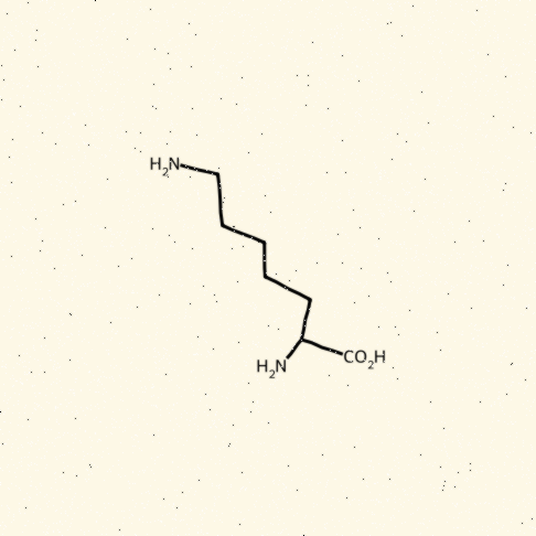 NCCCCCC(N)C(=O)O